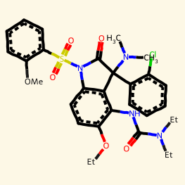 CCOc1ccc2c(c1NC(=O)N(CC)CC)C(c1ccccc1Cl)(N(C)C)C(=O)N2S(=O)(=O)c1ccccc1OC